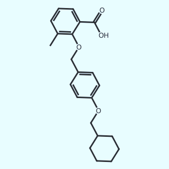 Cc1cccc(C(=O)O)c1OCc1ccc(OCC2CCCCC2)cc1